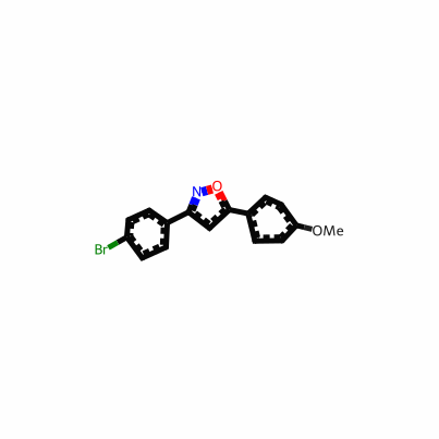 COc1ccc(-c2cc(-c3ccc(Br)cc3)no2)cc1